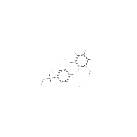 CCOc1c(CC)c(C)c(C)c(CCl)c1Oc1ccc(C(C)(C)CC(C)(C)C)cc1.N